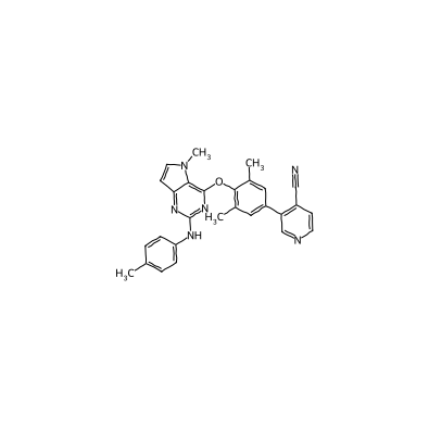 Cc1ccc(Nc2nc(Oc3c(C)cc(-c4cnccc4C#N)cc3C)c3c(ccn3C)n2)cc1